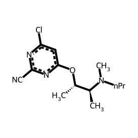 CCCN(C)[C@@H](C)[C@H](C)Oc1cc(Cl)nc(C#N)n1